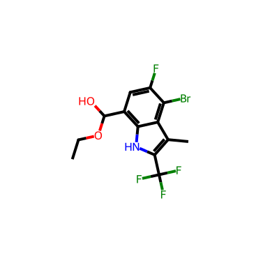 CCOC(O)c1cc(F)c(Br)c2c(C)c(C(F)(F)F)[nH]c12